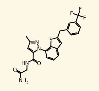 Cc1cc(C(=O)NCC(N)=O)n(-c2cccc3cc(Cc4cccc(C(F)(F)F)c4)sc23)n1